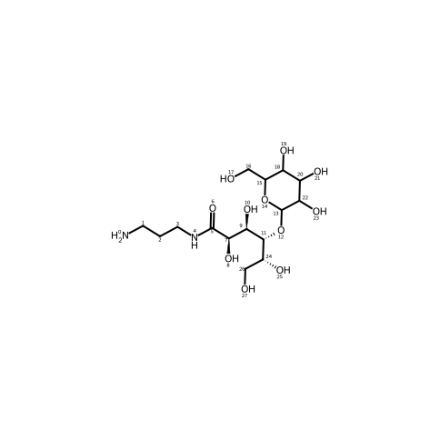 NCCCNC(=O)[C@H](O)[C@@H](O)[C@H](OC1OC(CO)C(O)C(O)C1O)[C@H](O)CO